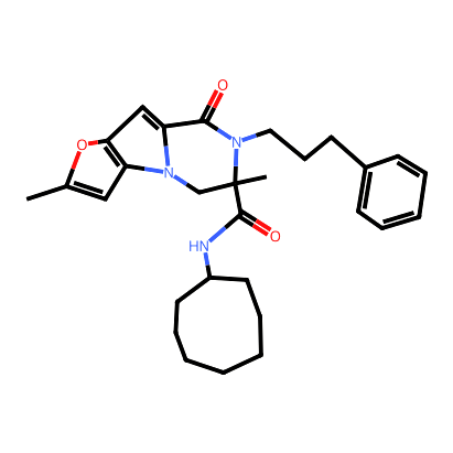 Cc1cc2c(cc3n2CC(C)(C(=O)NC2CCCCCCC2)N(CCCc2ccccc2)C3=O)o1